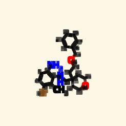 Cc1c(Br)ccc(N)c1NCC1(CCOCc2ccccc2)CCOCC1